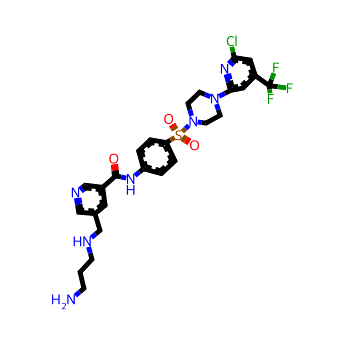 NCCCNCc1cncc(C(=O)Nc2ccc(S(=O)(=O)N3CCN(c4cc(C(F)(F)F)cc(Cl)n4)CC3)cc2)c1